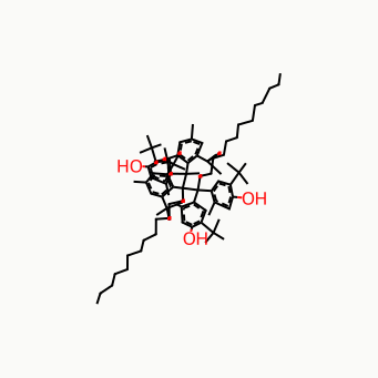 CCCCCCCCCCCCCC(c1cc(C(C)(C)C)c(O)cc1C)(c1cc(C(C)(C)C)c(O)cc1C)C(CCCCCCCCCCCCC)(c1c(C(C)(C)C)cc(C)cc1C(C)(C)C)C(C)(c1cc(C(C)(C)C)c(O)cc1C)c1c(C(C)(C)C)cc(C)cc1C(C)(C)C